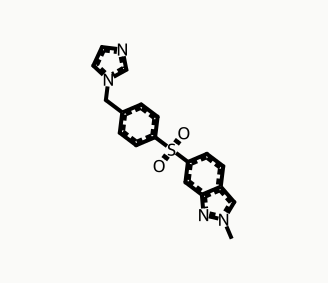 Cn1cc2ccc(S(=O)(=O)c3ccc(Cn4ccnc4)cc3)cc2n1